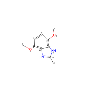 COc1ccc(OC)c2[nH]c(C)nc12